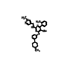 Cc1ccccc1-c1nc(NSc2cnn(C)c2)nc(Oc2cccc(C3CCN(C)CC3)c2)c1C(C)(C)C